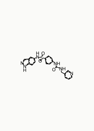 O=C(NCc1cccnc1)Nc1ccc(S(=O)(=O)Nc2ccc3[nH]ncc3c2)cc1